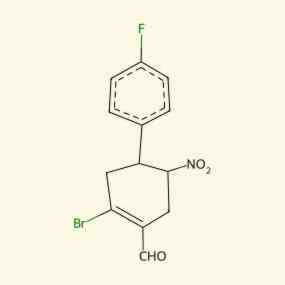 O=CC1=C(Br)CC(c2ccc(F)cc2)C([N+](=O)[O-])C1